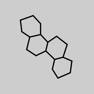 [CH]1CCCC2C1CCC1C3CCCCC3CCC21